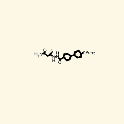 CCCCCc1ccc(-c2ccc(C(=O)NNC(=S)CC(N)=O)cc2)cc1